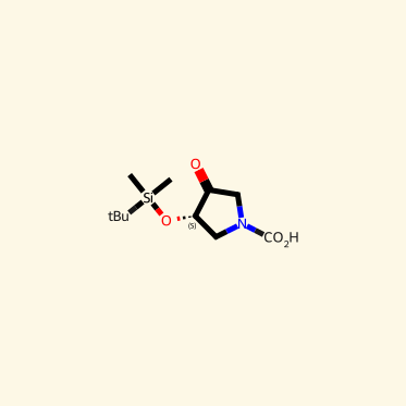 CC(C)(C)[Si](C)(C)O[C@H]1CN(C(=O)O)CC1=O